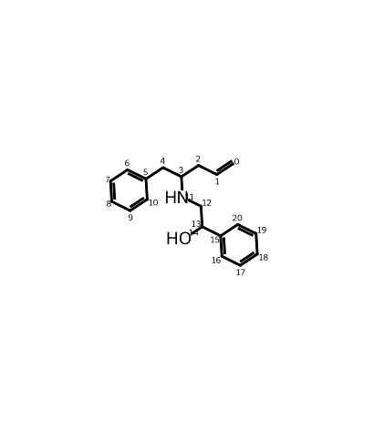 C=CCC(Cc1ccccc1)NCC(O)c1ccccc1